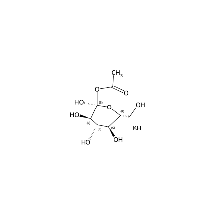 CC(=O)O[C@@]1(O)O[C@H](CO)[C@@H](O)[C@H](O)[C@H]1O.[KH]